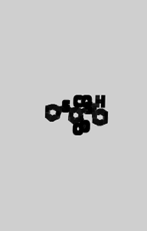 O=C(O)c1c(Sc2ccccc2)cc2ooc2c1Sc1ccccc1